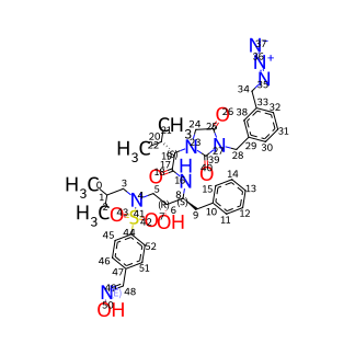 CC(C)CN(C[C@@H](O)[C@H](Cc1ccccc1)NC(=O)[C@H](C(C)C)N1CC(=O)N(Cc2cccc(CN=[N+]=[N-])c2)C1=O)S(=O)(=O)c1ccc(/C=N/O)cc1